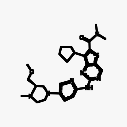 COC[C@H]1CN(c2ccc(Nc3ncc4sc(C(=O)N(C)C)c(C5CCCC5)c4n3)nc2)CCN1C